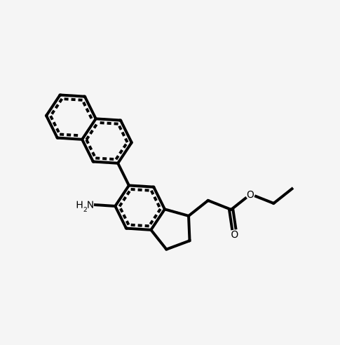 CCOC(=O)CC1CCc2cc(N)c(-c3ccc4ccccc4c3)cc21